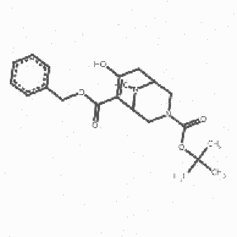 CN1C2CC(O)=C(C(=O)OCc3ccccc3)C1CN(C(=O)OC(C)(C)C)C2